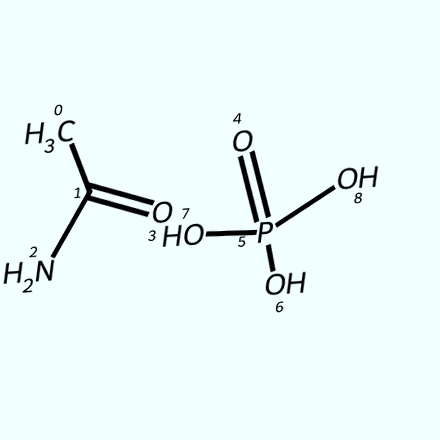 CC(N)=O.O=P(O)(O)O